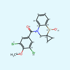 COc1c(Br)cc(C(=O)N2CC3(CC3)[S+]([O-])c3ccccc32)cc1Br